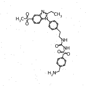 CCc1nc2cc(S(C)(=O)=O)ccc2n1-c1ccc(CCNC(=O)NS(=O)(=O)c2ccc(CN)cc2)cc1